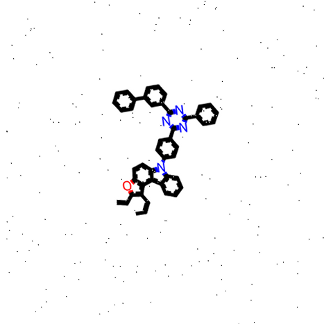 C=Cc1oc2ccc3c(c4ccccc4n3-c3ccc(-c4nc(-c5ccccc5)nc(-c5cccc(-c6ccccc6)c5)n4)cc3)c2c1/C=C\C